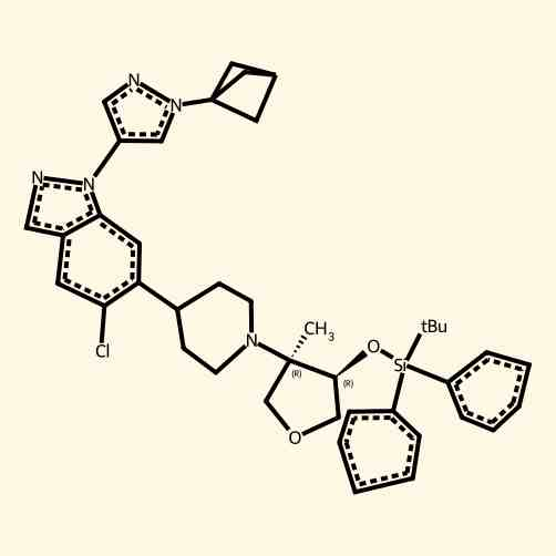 CC(C)(C)[Si](O[C@H]1COC[C@@]1(C)N1CCC(c2cc3c(cnn3-c3cnn(C45CC(C4)C5)c3)cc2Cl)CC1)(c1ccccc1)c1ccccc1